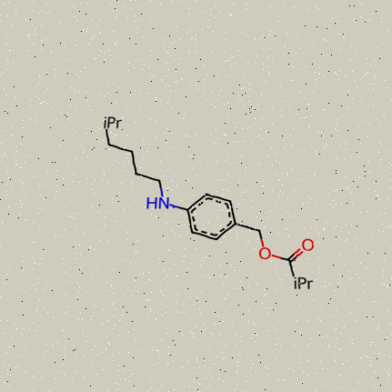 CC(C)CCCCNc1ccc(COC(=O)C(C)C)cc1